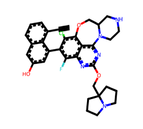 C#Cc1cccc2cc(O)cc(-c3c(Cl)c4c5c(nc(OCC67CCCN6CCC7)nc5c3F)N3CCNCC3CO4)c12